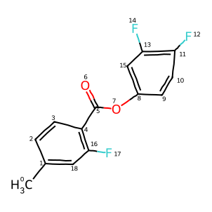 Cc1ccc(C(=O)Oc2ccc(F)c(F)c2)c(F)c1